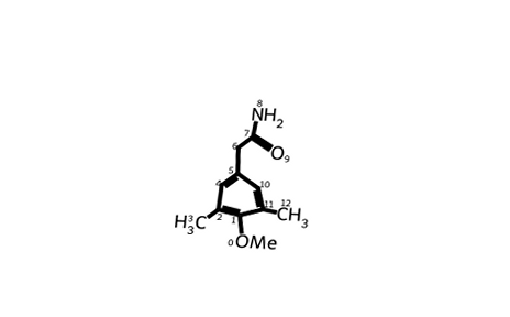 COc1c(C)cc(CC(N)=O)cc1C